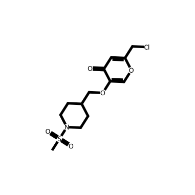 CS(=O)(=O)N1CCC(COc2coc(CCl)cc2=O)CC1